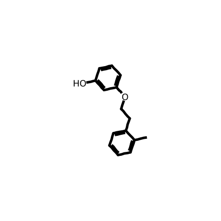 Cc1ccccc1CCOc1cccc(O)c1